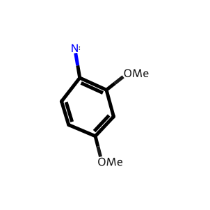 COc1ccc([N])c(OC)c1